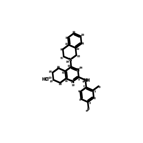 Cc1cc(F)ccc1Nc1nc2c(c(N3CCc4ccccc4C3)n1)CCCC2.Cl